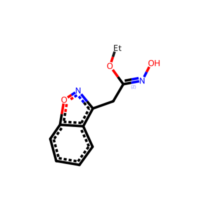 CCO/C(Cc1noc2ccccc12)=N\O